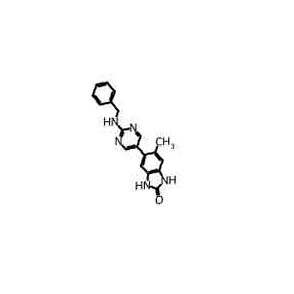 Cc1cc2[nH]c(=O)[nH]c2cc1-c1cnc(NCc2ccccc2)nc1